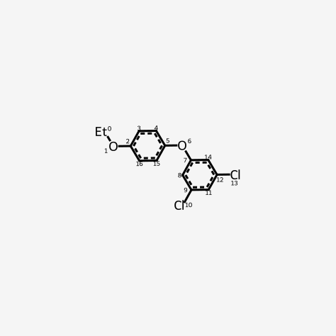 [CH2]COc1ccc(Oc2cc(Cl)cc(Cl)c2)cc1